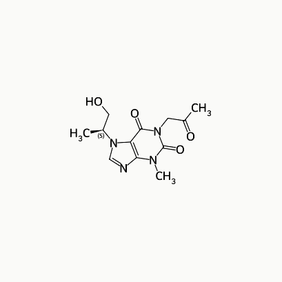 CC(=O)Cn1c(=O)c2c(ncn2[C@@H](C)CO)n(C)c1=O